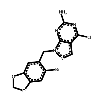 Nc1nc(Cl)c2cnn(Cc3cc4c(cc3Br)OCO4)c2n1